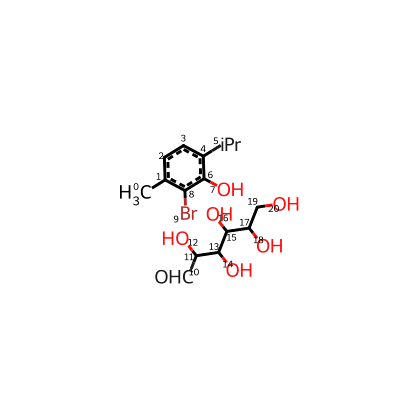 Cc1ccc(C(C)C)c(O)c1Br.O=CC(O)C(O)C(O)C(O)CO